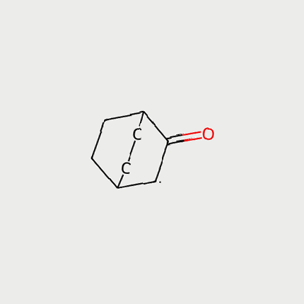 O=C1[CH]C2CCC1CC2